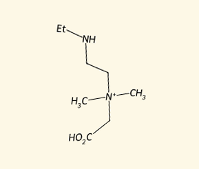 CCNCC[N+](C)(C)CC(=O)O